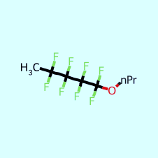 CCCOC(F)(F)C(F)(F)C(F)(F)C(C)(F)F